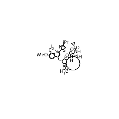 COc1ccc2c(C[C@@H]3C[C@H]4C(=O)N[C@]5(C(=O)NS(=O)(=O)C6CC6)C[C@H]5/C=C\CCCCN(C)C(=O)[C@@H]4C3)cc(-c3nc(C(C)C)cs3)nc2c1C